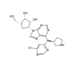 OC[C@H]1C[C@@H](n2cnc3c(N(c4cc(Cl)ncn4)[C@H]4CCNC4)ncnc32)[C@@H](O)[C@H]1O